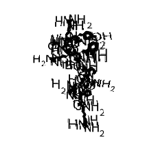 CC[C@H](C)[C@H](NC(=O)[C@@H]1CCCN1C(=O)[C@H](CC(N)=O)NC(=O)[C@H](CC(N)=O)NC(=O)[C@@H]1CCCN1C(=O)[C@H](Cc1c[nH]cn1)NC(=O)[C@@H](N)CCCNC(=N)N)C(=O)N[C@@H](Cc1c[nH]c2ccccc12)C(=O)N[C@@H](CCCNC(=N)N)C(=O)N[C@@H](CCC(N)=O)C(=O)N[C@@H](CCCNC(=N)N)C(=O)N[C@@H](Cc1ccc(O)cc1)C(N)=O